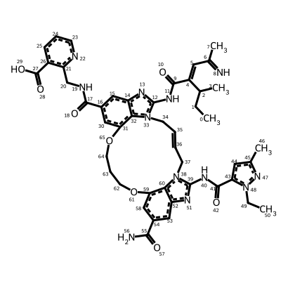 CCC(C)/C(=C\C(C)=N)C(=O)Nc1nc2cc(C(=O)NCc3ncccc3C(=O)O)cc3c2n1C/C=C/Cn1c(NC(=O)c2cc(C)nn2CC)nc2cc(C(N)=O)cc(c21)OCCCO3